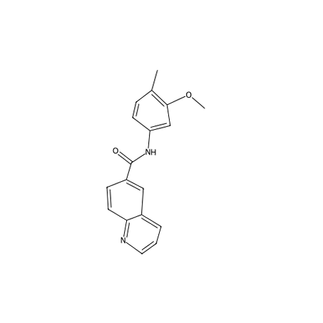 COc1cc(NC(=O)c2ccc3ncccc3c2)ccc1C